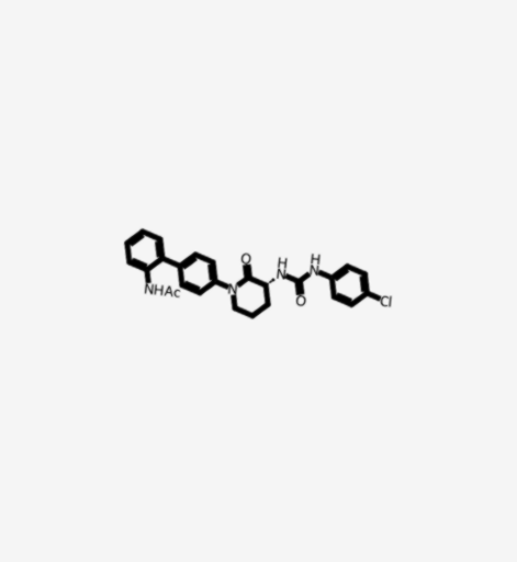 CC(=O)Nc1ccccc1-c1ccc(N2CCC[C@@H](NC(=O)Nc3ccc(Cl)cc3)C2=O)cc1